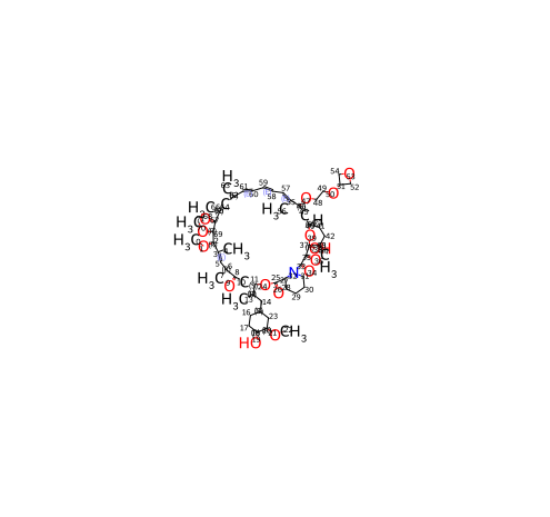 CO[C@@H]1/C(C)=C/[C@@H](C)C(=O)C[C@@H]([C@H](C)C[C@@H]2CC[C@@H](O)[C@H](OC)C2)OC(=O)C2CCCCN2C(=O)C(=O)[C@]2(O)O[C@@H](CC[C@H]2C)C[C@H](OCCOC2COC2)/C(C)=C/C=C/C=C/[C@@H](C)C[C@@H](C)C(=O)[C@@H]1OC